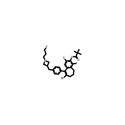 CC(C)(C)C(=O)Oc1c(F)cc2c(c1F)CCCC(Br)=C2c1ccc(CC2CN(CCCF)C2)cc1